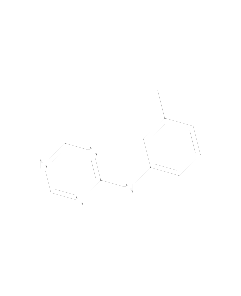 Cc1cccc(Nc2ncncn2)c1